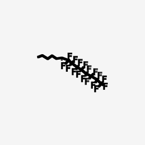 CCCCC[CH]C(F)(F)C(F)(F)C(F)(F)C(F)(F)C(F)(F)C(F)(F)C(F)(F)C(F)(F)F